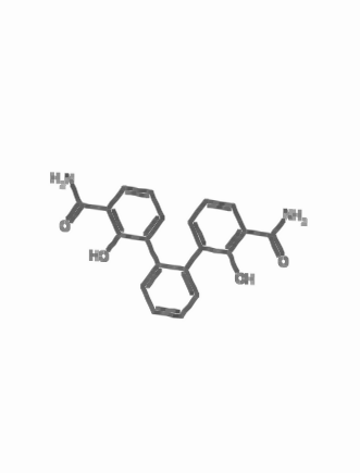 NC(=O)c1cccc(-c2ccccc2-c2cccc(C(N)=O)c2O)c1O